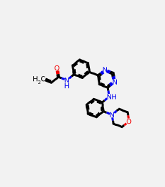 C=CC(=O)Nc1cccc(-c2cc(Nc3ccccc3N3CCOCC3)ncn2)c1